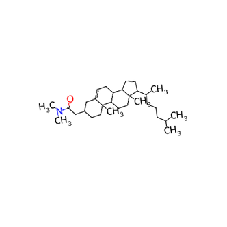 CC(C)CCCC(C)C1CCC2C3CC=C4CC(CC(=O)N(C)C)CCC4(C)C3CCC12C